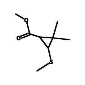 COC(=O)C1C(SC)C1(C)C